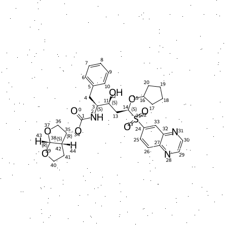 O=C(N[C@@H](Cc1ccccc1)[C@@H](O)C[C@@H](OC1CCCC1)S(=O)(=O)c1ccc2nccnc2c1)O[C@H]1CO[C@H]2OCC[C@H]21